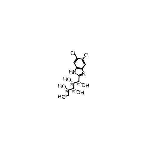 OC[C@@H](O)[C@@H](O)[C@H](O)[C@@H](O)c1nc2cc(Cl)c(Cl)cc2[nH]1